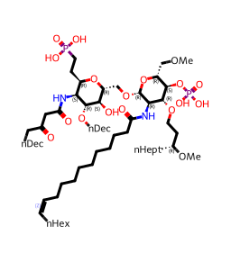 CCCCCC/C=C\CCCCCCCCCC(=O)N[C@H]1[C@H](OC[C@H]2O[C@H](CCP(=O)(O)O)[C@H](NC(=O)CC(=O)CCCCCCCCCCC)[C@@H](OCCCCCCCCCC)[C@@H]2O)O[C@H](COC)[C@@H](OP(=O)(O)O)[C@@H]1OCC[C@@H](CCCCCCC)OC